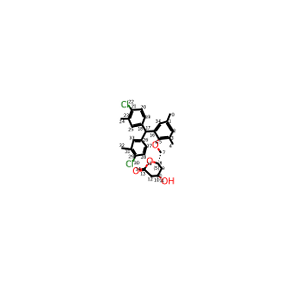 Cc1cc(C)c(OC[C@@H]2C[C@@H](O)CC(=O)O2)c(C(c2ccc(Cl)c(C)c2)c2ccc(Cl)c(C)c2)c1